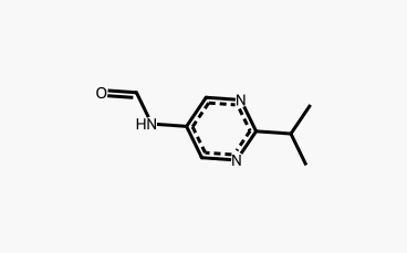 CC(C)c1ncc(NC=O)cn1